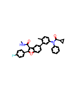 CNC(=O)c1c(-c2ccc(F)cc2)oc2ccc(-c3cc(N(C(=O)C4CC4)c4ccccc4)ccc3C)cc12